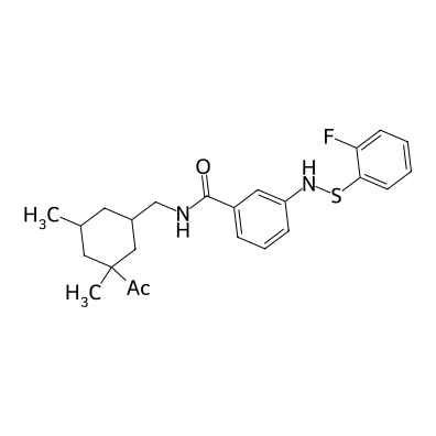 CC(=O)C1(C)CC(C)CC(CNC(=O)c2cccc(NSc3ccccc3F)c2)C1